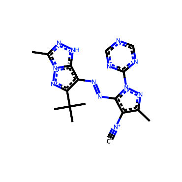 [C-]#[N+]c1c(C)nn(-c2ncncn2)c1/N=N/c1c(C(C)(C)C)nn2c(C)n[nH]c12